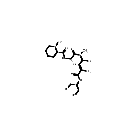 C/C(=C\[C@H](C(C)C)N(C)C(=O)[C@@H](NC(=O)[C@H]1CCCCN1C(C)C)C(C)C)C(=O)N[C@H](CO)CC(C)C